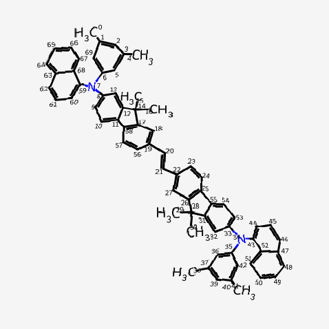 Cc1cc(C)cc(N(c2ccc3c(c2)C(C)(C)c2cc(/C=C/c4ccc5c(c4)C(C)(C)c4cc(N(c6cc(C)cc(C)c6)c6cccc7ccccc67)ccc4-5)ccc2-3)c2cccc3ccccc23)c1